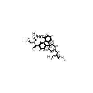 CCN(CC)C(=O)c1ccc(C2(c3cccc(O)c3)CCN(CC(C)C)CC2)cc1